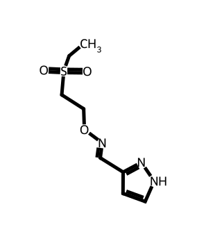 CCS(=O)(=O)CCON=Cc1cc[nH]n1